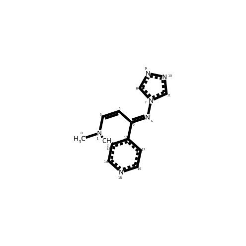 CN(C)/C=C\C(=N/n1cnnc1)c1ccncc1